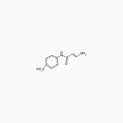 N/C=C/C(=O)Nc1ccc(S(=O)(=O)O)cc1